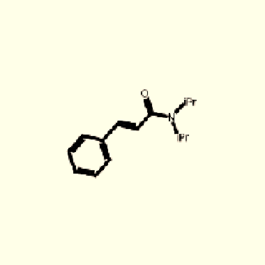 CC(C)N(C(=O)/C=C/c1ccccc1)C(C)C